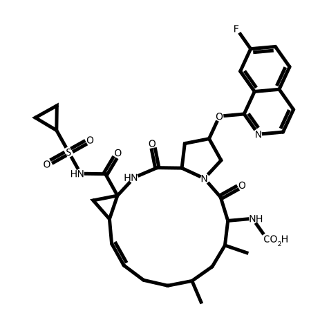 CC1CCC=CC2CC2(C(=O)NS(=O)(=O)C2CC2)NC(=O)C2CC(Oc3nccc4ccc(F)cc34)CN2C(=O)C(NC(=O)O)C(C)C1